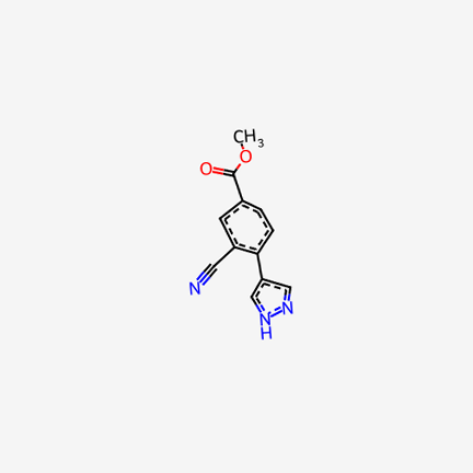 COC(=O)c1ccc(-c2cn[nH]c2)c(C#N)c1